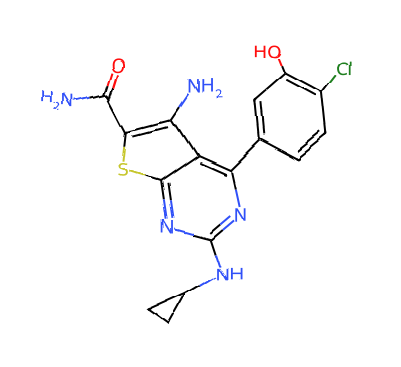 NC(=O)c1sc2nc(NC3CC3)nc(-c3ccc(Cl)c(O)c3)c2c1N